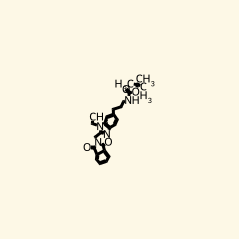 CCn1c(CN2C(=O)c3ccccc3C2=O)nc2ccc(CCCNC(=O)OC(C)(C)C)cc21